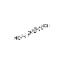 OCCCCCOCCOCCCCCO